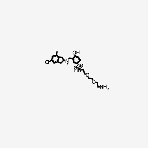 Cc1cc(Cl)cc2c1C[C@H](N(C)Cc1cc(S(=O)(=O)NCCOCCOCCN)ccc1O)C2